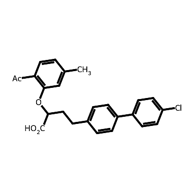 CC(=O)c1ccc(C)cc1OC(CCc1ccc(-c2ccc(Cl)cc2)cc1)C(=O)O